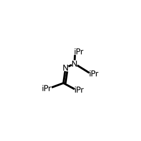 CC(C)C(=NN(C(C)C)C(C)C)C(C)C